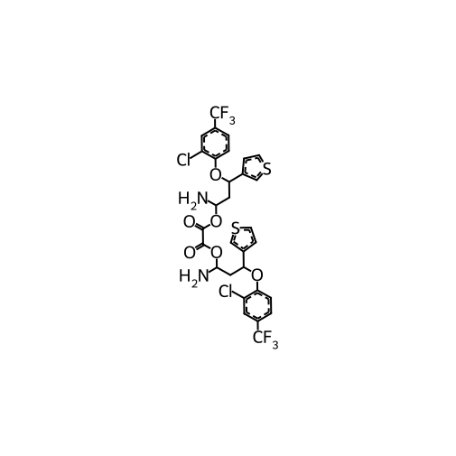 NC(CC(Oc1ccc(C(F)(F)F)cc1Cl)c1ccsc1)OC(=O)C(=O)OC(N)CC(Oc1ccc(C(F)(F)F)cc1Cl)c1ccsc1